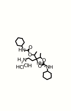 CC(OC(=O)NC1CCCCC1)C(N)(CCN)C(C)OC(=O)NC1CCCCC1.Cl.Cl